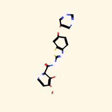 COc1ccnc(C(=O)Nc2nc3ccc(Oc4cncnc4)cc3s2)c1O